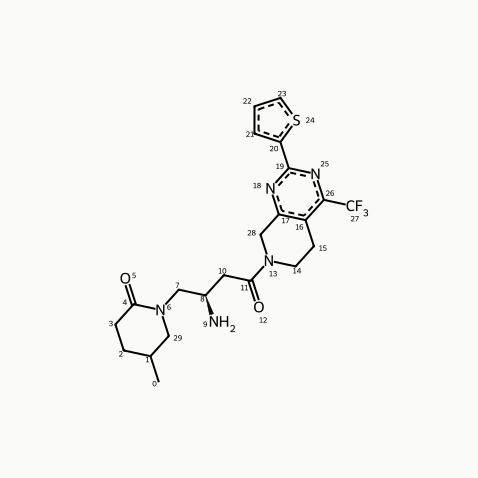 CC1CCC(=O)N(C[C@H](N)CC(=O)N2CCc3c(nc(-c4cccs4)nc3C(F)(F)F)C2)C1